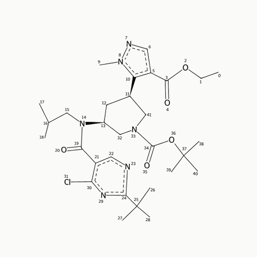 CCOC(=O)c1cnn(C)c1[C@@H]1C[C@H](N(CC(C)C)C(=O)c2cnc(C(C)(C)C)nc2Cl)CN(C(=O)OC(C)(C)C)C1